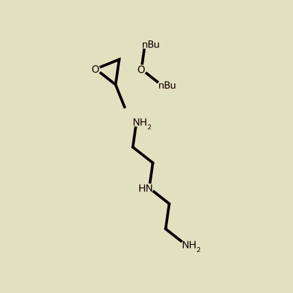 CC1CO1.CCCCOCCCC.NCCNCCN